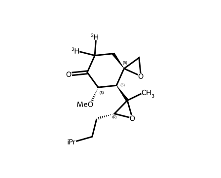 [2H]C1([2H])C[C@]2(CO2)[C@@H](C2(C)O[C@@H]2CCC(C)C)[C@H](OC)C1=O